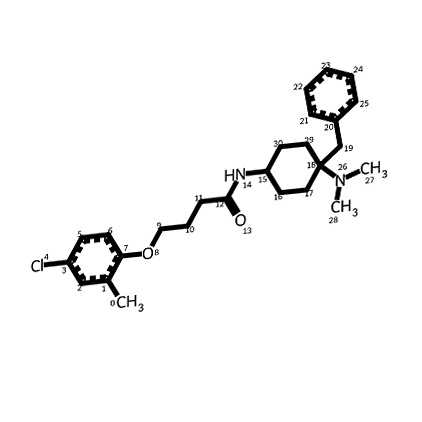 Cc1cc(Cl)ccc1OCCCC(=O)NC1CCC(Cc2ccccc2)(N(C)C)CC1